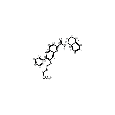 O=C(O)CCCCc1cc2cc(C(=O)N[C@@H]3CCCc4ccccc43)ccc2nc1-c1ccccc1